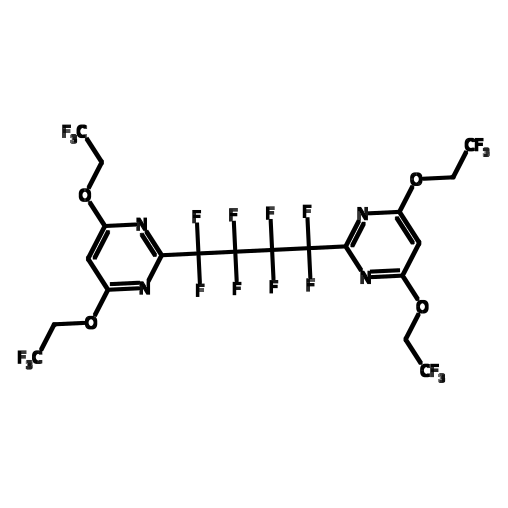 FC(F)(F)COc1cc(OCC(F)(F)F)nc(C(F)(F)C(F)(F)C(F)(F)C(F)(F)c2nc(OCC(F)(F)F)cc(OCC(F)(F)F)n2)n1